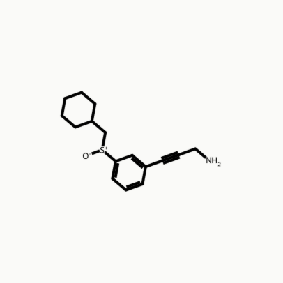 NCC#Cc1cccc([S+]([O-])CC2CCCCC2)c1